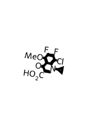 COc1c(F)c(F)c(Cl)c2c1c(=O)c(C(=O)O)cn2C1CC1